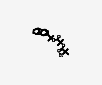 CCC(C)(C)C(=O)OC(C)(C)C(=O)OC(C)(C)C1CC2CC1C1C3CCC(C3)C21